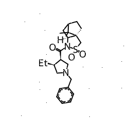 CC[C@@H]1CN(Cc2ccccc2)C[C@@H]1C(=O)N1[C@H]2CC3CC[C@@]2(CS1(=O)=O)C3(C)C